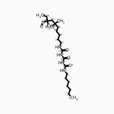 CCCCCCCNC(=O)NC(=O)NC(=O)NCCCCCC(C)(C)CC(C)(CC)N=O